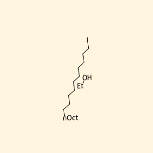 CCCCCCCCCCCCCCCCCCI.CCO